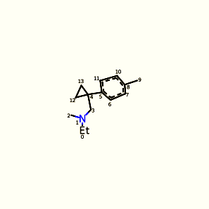 CCN(C)CC1(c2ccc(C)cc2)CC1